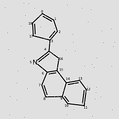 c1ccc(C2=Nc3ccc4ccccc4c3C2)cc1